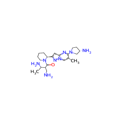 Cc1cn2nc([C@@H]3CCCCN3C(=O)C(CN)C(C)N)cc2nc1N1CC[C@H](N)C1